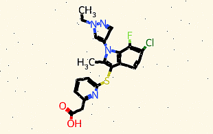 CCn1cc(-n2c(C)c(Sc3cccc(CC(=O)O)n3)c3ccc(Cl)c(F)c32)cn1